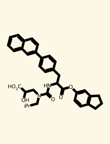 CC(C)CN(CC(O)C(=O)O)C(=O)NC(Cc1ccc(-c2ccc3ccccc3c2)cc1)C(=O)Oc1ccc2c(c1)CCC2